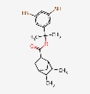 CC1C2CC(C(=O)OC(C)(C)c3cc(S)cc(S)c3)C(C2)C1C